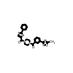 Cc1nc(-c2cccc(C(=O)N3CCN(C(=O)c4csc(-c5ccccc5)n4)CC3)c2)no1